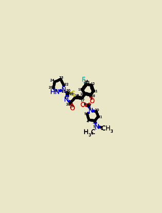 CN(C)C1CCN(C(=O)Oc2ccc(F)cc2/C=C2\SC(N3CCCCN3)=NC2=O)CC1